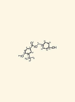 COc1ccc(C(=O)OCc2ccc(O)cc2)cc1C(C)(C)C